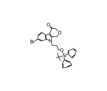 C[C@H](CO[Si](c1ccccc1)(c1ccccc1)C(C)(C)C)Cn1c2c(c3ccc(Br)cc31)C(=O)COC2